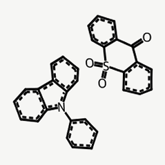 O=C1c2ccccc2S(=O)(=O)c2ccccc21.c1ccc(-n2c3ccccc3c3ccccc32)cc1